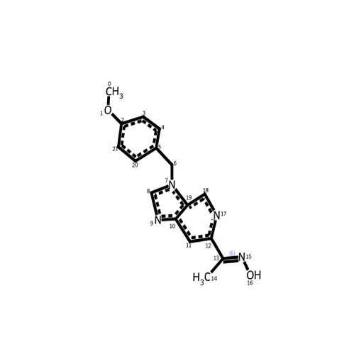 COc1ccc(Cn2cnc3cc(/C(C)=N/O)ncc32)cc1